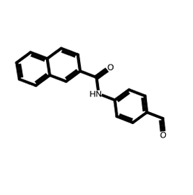 O=Cc1ccc(NC(=O)c2ccc3ccccc3c2)cc1